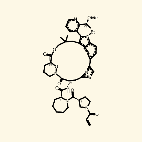 C=CC(=O)N1CC[C@H](C(=O)N2CCCCC[C@H]2C(=O)N[C@H]2Cc3nc(cs3)-c3ccc4c(c3)c(c(-c3cccnc3[C@H](C)OC)n4CC)CC(C)(C)COC(=O)[C@@H]3CCCN(O3)C2=O)C1